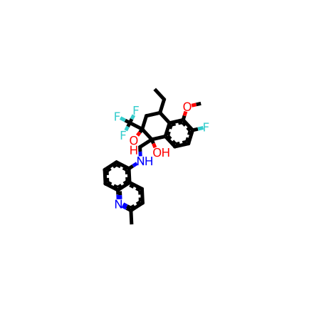 CCC1CC(O)(C(F)(F)F)C(O)(CNc2cccc3nc(C)ccc23)c2ccc(F)c(OC)c21